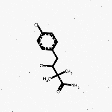 CC(C)(C(N)=O)C(Cl)Cc1ccc(Cl)cc1